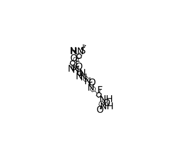 N#Cc1c(NSC2CC2)ccc(F)c1Oc1ccc2ncn(-c3cnc(N4CCN(C(=O)CN5CCC(c6ccc(NC7CCC(=O)NC7=O)cc6F)CC5)CC4)nc3)c(=O)c2c1